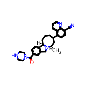 C[C@@H]1CC(c2ccc(C#N)c3ncccc23)CCC[C@@H]2c3ccc(C(=O)N4CCNCC4)cc3CN12